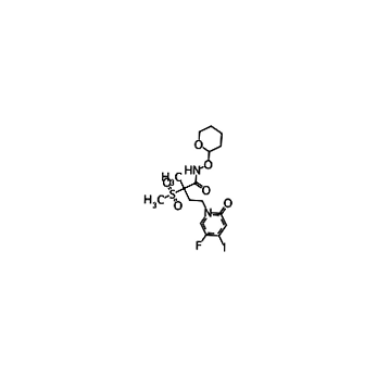 CC(CCn1cc(F)c(I)cc1=O)(C(=O)NOC1CCCCO1)S(C)(=O)=O